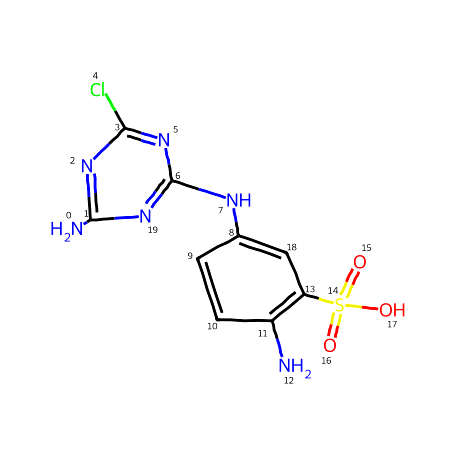 Nc1nc(Cl)nc(Nc2ccc(N)c(S(=O)(=O)O)c2)n1